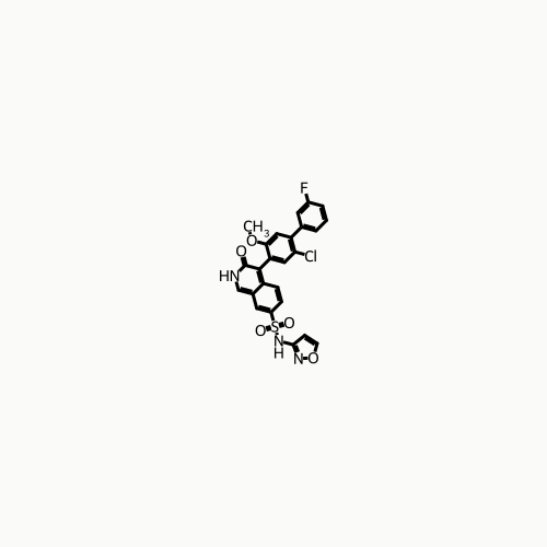 COc1cc(-c2cccc(F)c2)c(Cl)cc1-c1c(=O)[nH]cc2cc(S(=O)(=O)Nc3ccon3)ccc12